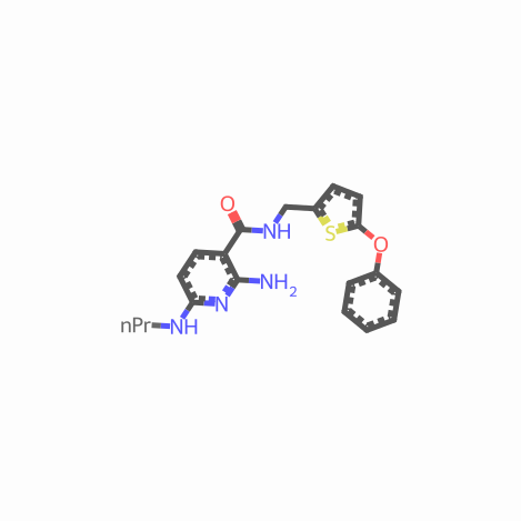 CCCNc1ccc(C(=O)NCc2ccc(Oc3ccccc3)s2)c(N)n1